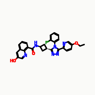 CCOc1ccc(-c2nnc([C@H]3C[C@H](NC(=O)c4cccc5cc(O)cnc45)C3)n2-c2ccccc2F)nc1